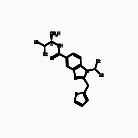 CCC(CC)[C@H](NC(=O)c1ccc2c(c1)nc(Cc1cccs1)n2C(CC)CC)C(=O)O